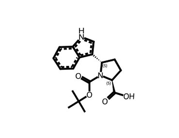 CC(C)(C)OC(=O)N1[C@H](C(=O)O)CC[C@H]1c1c[nH]c2ccccc12